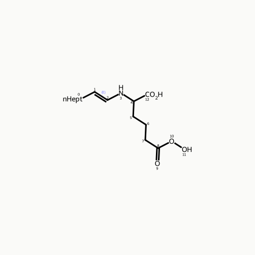 CCCCCCC/C=C/NC(CCCC(=O)OO)C(=O)O